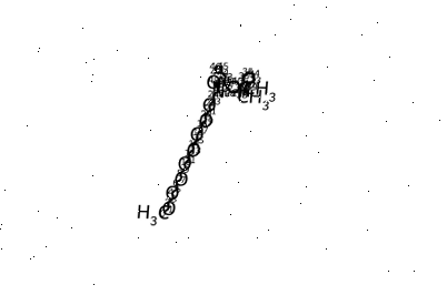 COCCOCCOCCOCCOCCOCCOCCOCCN1C[C@]2(CC[C@@](c3ccccc3)(N(C)C)CC2)N(CC2CCC2)C1=O